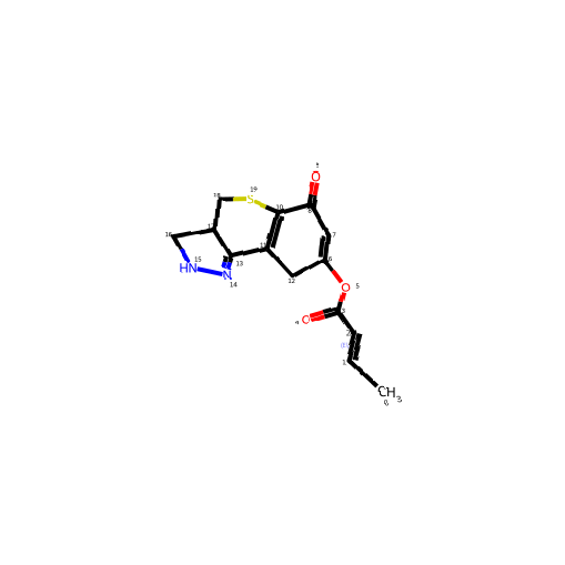 C/C=C/C(=O)OC1=CC(=O)C2=C(C1)C1=NNCC1CS2